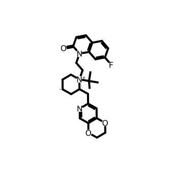 CC(C)(C)[N+]1(CCn2c(=O)ccc3ccc(F)cc32)CC[CH]CC1Cc1cc2c(cn1)OCCO2